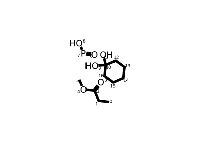 CCC(=O)OC.O=PO.OC1(O)CCCCC1